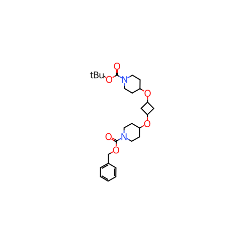 CC(C)(C)OC(=O)N1CCC(OC2CC(OC3CCN(C(=O)OCc4ccccc4)CC3)C2)CC1